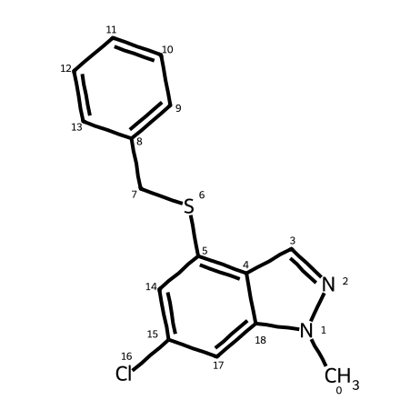 Cn1ncc2c(SCc3ccccc3)cc(Cl)cc21